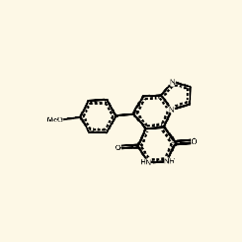 COc1ccc(-c2cc3nccn3c3c(=O)[nH][nH]c(=O)c23)cc1